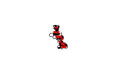 COC(=O)c1cc(F)c(-c2cccc3c2OCN(C(=O)c2c(Cl)cc(N4CC(OC)(OC)[C@H]4C)cc2Cl)C3)cc1N1C2CCC1COC2